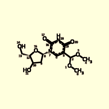 COC(OC)c1cn([C@@H]2CC(O)[C@H](CO)O2)c(=O)[nH]c1=O